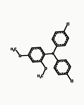 COc1ccc(N(c2ccc(Cl)cc2)c2ccc(Cl)cc2)c(OC)c1